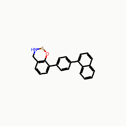 c1cc2c(c(-c3ccc(-c4cccc5ccccc45)cc3)c1)OSNC2